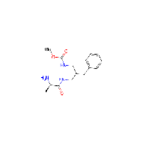 C[C@@H](N)C(=O)NCC(CNC(=O)OC(C)(C)C)Cc1ccccc1